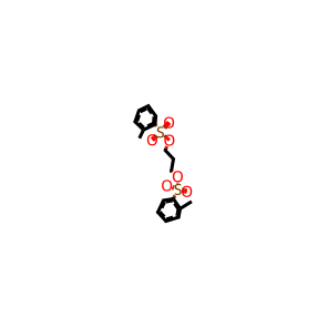 Cc1ccccc1S(=O)(=O)OCCCOS(=O)(=O)c1ccccc1C